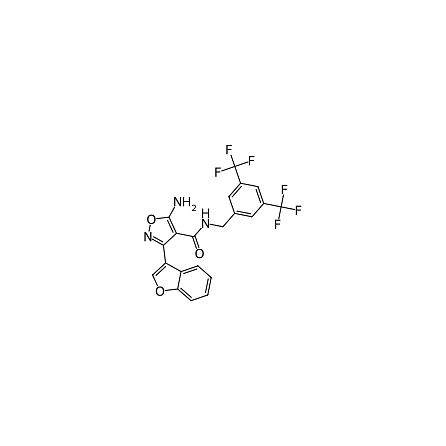 Nc1onc(-c2coc3ccccc23)c1C(=O)NCc1cc(C(F)(F)F)cc(C(F)(F)F)c1